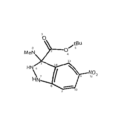 CNC1(C(=O)OC(C)(C)C)NNc2ccc([N+](=O)[O-])cc21